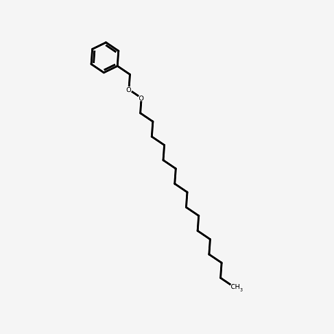 CCCCCCCCCCCCCCCCOOCc1ccccc1